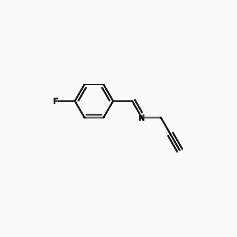 C#CCN=Cc1ccc(F)cc1